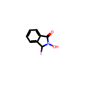 O=C1c2ccccc2C(I)N1O